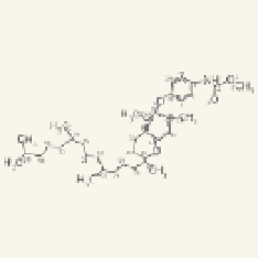 COC(=O)Nc1ccc(Oc2c(C)cc3c(c2C)CCC(C)(CCCC(C)CCCC(C)CCCC(C)C)O3)cc1